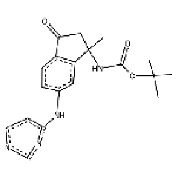 CC(C)(C)OC(=O)NC1(C)CC(=O)c2ccc(Nc3ccncn3)cc21